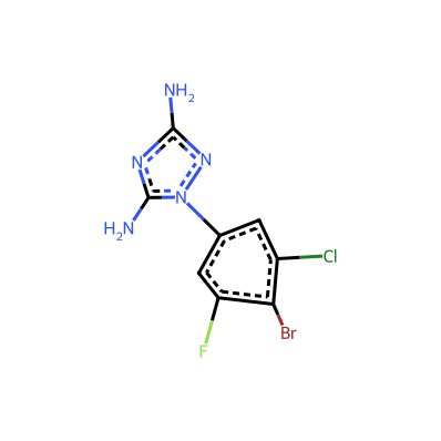 Nc1nc(N)n(-c2cc(F)c(Br)c(Cl)c2)n1